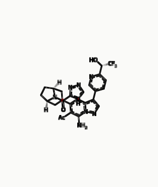 CC(=O)c1c(C2C[C@H]3CC[C@@H](C2)N3C(=O)c2nnc[nH]2)nc2c(-c3ccc([C@H](O)C(F)(F)F)nc3)cnn2c1N